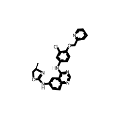 C[C@@H]1COC(Nc2ccc3ncnc(Nc4ccc(OCc5ccccn5)c(Cl)c4)c3c2)=N1